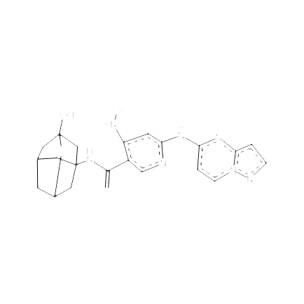 CC(C)Nc1cc(Nc2ccn3nccc3n2)ncc1C(=O)NC12CC3CC(CC(O)(C3)C1)C2